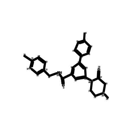 Cc1ccc(-c2cc(C(=O)NCc3ccc(C)nc3)cc(N3CCN(C)CC3=O)c2)cc1